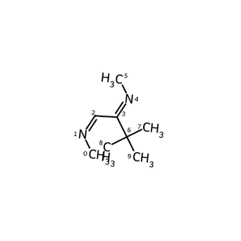 C/N=C\C(=N/C)C(C)(C)C